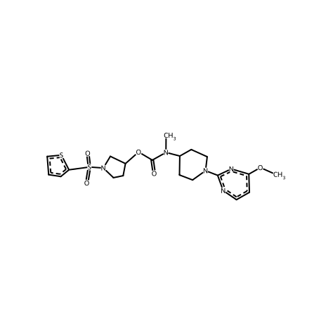 COc1ccnc(N2CCC(N(C)C(=O)OC3CCN(S(=O)(=O)c4cccs4)C3)CC2)n1